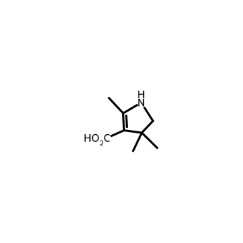 CC1=C(C(=O)O)C(C)(C)CN1